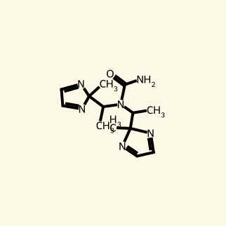 CC(N(C(N)=O)C(C)C1(C)N=CC=N1)C1(C)N=CC=N1